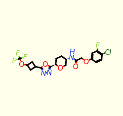 O=C(COc1ccc(Cl)c(F)c1)N[C@H]1CC[C@H](c2nnc(C3CC(OC(F)(F)F)C3)o2)OC1